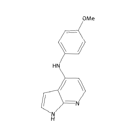 COc1ccc(Nc2ccnc3[nH]ccc23)cc1